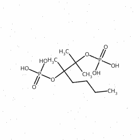 CCCCC(C)(OP(=O)(O)O)C(C)(C)OP(=O)(O)O